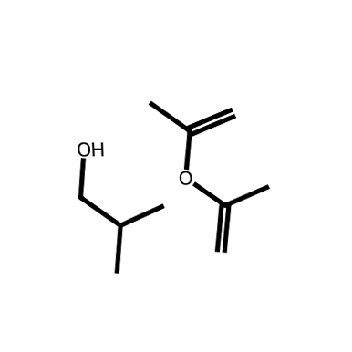 C=C(C)OC(=C)C.CC(C)CO